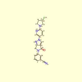 N#Cc1cccc(N2Cc3nn(-c4ccc(N5CC[C@@H](F)C5)nc4)cc3C2=O)c1